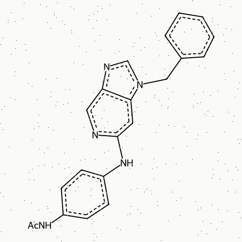 CC(=O)Nc1ccc(Nc2cc3c(cn2)ncn3Cc2ccccc2)cc1